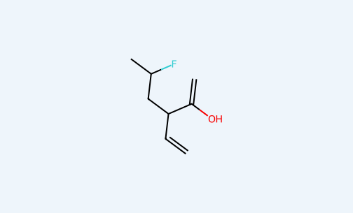 C=CC(CC(C)F)C(=C)O